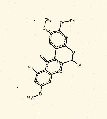 COc1cc(O)c2c(=O)c3c(oc2c1)C(O)Oc1cc(OC)c(OC)cc1-3